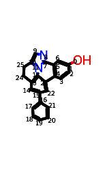 Oc1ccc2c(c1)c1ncc3n1c1c(cc(-c4ccccc4)cc21)CC3